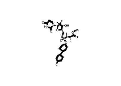 CC(C)OC(=O)[C@H](C)NP(=O)(OC[C@H]1O[C@@H](n2ccc(=O)[nH]c2=O)[C@](C)(F)[C@@H]1O)Oc1ccc(-c2ccc(Cl)cc2)cc1